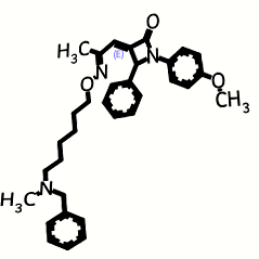 COc1ccc(N2C(=O)/C(=C/C(C)=NOCCCCCCN(C)Cc3ccccc3)C2c2ccccc2)cc1